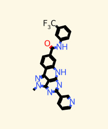 Cn1nc2c3c(nc(-c4cccnc4)nc31)Nc1cc(C(=O)Nc3cccc(C(F)(F)F)c3)ccc1-2